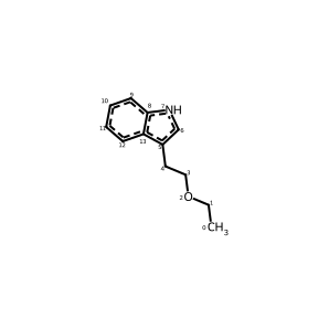 CCOCCc1c[nH]c2ccccc12